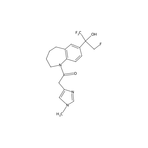 Cn1cnc(CC(=O)N2CCCCc3cc(C(O)(CF)C(F)(F)F)ccc32)c1